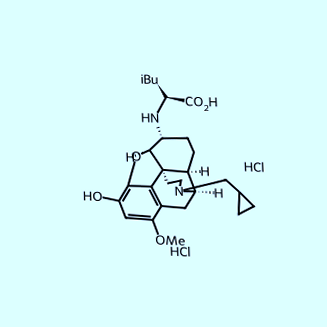 CC[C@H](C)[C@H](N[C@@H]1CC[C@H]2[C@H]3Cc4c(OC)cc(O)c5c4[C@@]2(CCN3CC2CC2)[C@H]1O5)C(=O)O.Cl.Cl